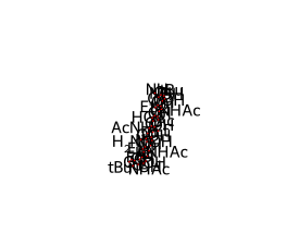 CCC1OC(OC2C(C(=O)NCN)OC(OC3C(O)C(CC)OC(OC4C(C(C)=O)OC(OC5C(O)C(CC)OC(C(C)(C)C)C5NC(C)=O)C(O)C4O)C3NC(C)=O)C(O)C2O)C(NC(C)=O)C(OC2OC(C(C)=O)C(OC3OC(CC)C(O)C(OC4OC(C(=O)NCN)C(OC(C)(C)C)C(O)C4O)C3NC(C)=O)C(O)C2O)C1O